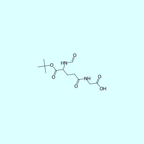 CC(C)(C)OC(=O)C(CCC(=O)NCC(=O)O)NC=O